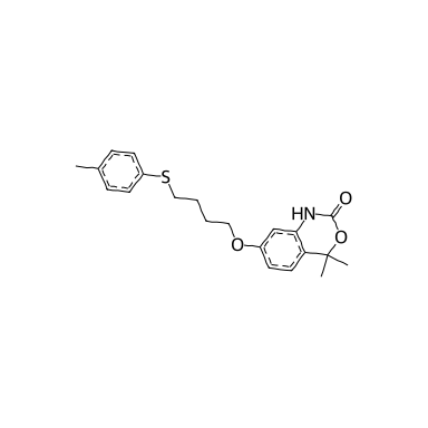 Cc1ccc(SCCCCOc2ccc3c(c2)NC(=O)OC3(C)C)cc1